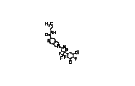 CCCNC(=O)c1cc2c(cn1)CN(C1=NOC(c3cc(Cl)c(F)c(Cl)c3)(C(F)(F)F)C1)C2